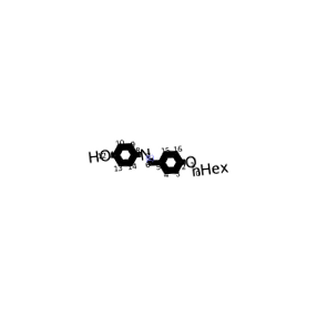 CCCCCCOc1ccc(/C=N/c2ccc(O)cc2)cc1